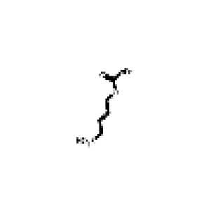 CCCC(=O)OCCCCS(=O)(=O)O